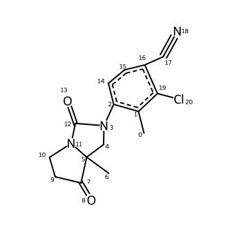 Cc1c(N2CC3(C)C(=O)CCN3C2=O)ccc(C#N)c1Cl